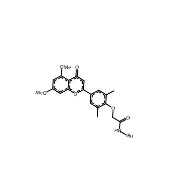 CCC(C)NC(=O)COc1c(C)cc(-c2cc(=O)c3c(OC)cc(OC)cc3o2)cc1C